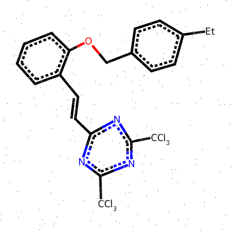 CCc1ccc(COc2ccccc2/C=C/c2nc(C(Cl)(Cl)Cl)nc(C(Cl)(Cl)Cl)n2)cc1